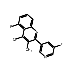 Cc1c(-c2cncc(F)c2)nc2cccc(F)c2c1Cl